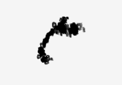 Cn1cnc(-c2cc(C(=O)NCCCCCCOc3ccc4c(c3)CN([C@H]3CCC(=O)NC3=O)C4=O)ccc2NCc2ccc(C(F)(F)F)cc2)c1